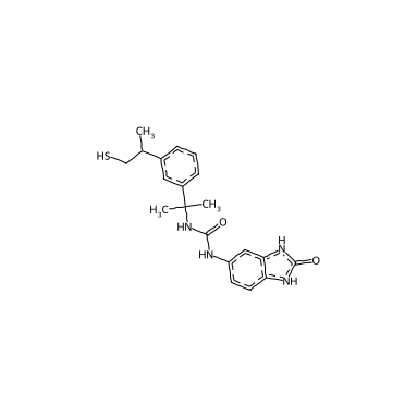 CC(CS)c1cccc(C(C)(C)NC(=O)Nc2ccc3[nH]c(=O)[nH]c3c2)c1